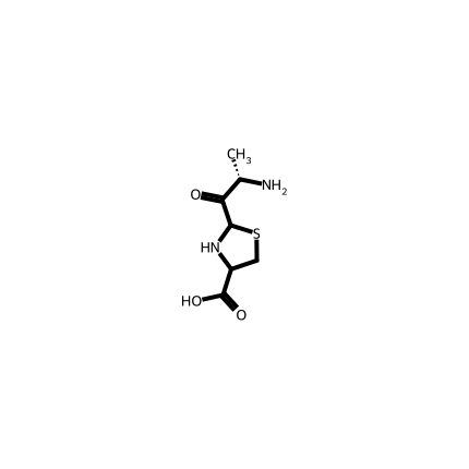 C[C@H](N)C(=O)C1NC(C(=O)O)CS1